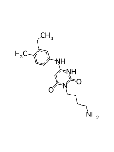 CCc1cc(Nc2cc(=O)n(CCCCN)c(=O)[nH]2)ccc1C